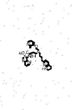 Cc1ncccc1OCCN(CCCCc1ccc2c(n1)NCCC2)CC[C@H](Nc1ncnc2cccnc12)C(=O)O